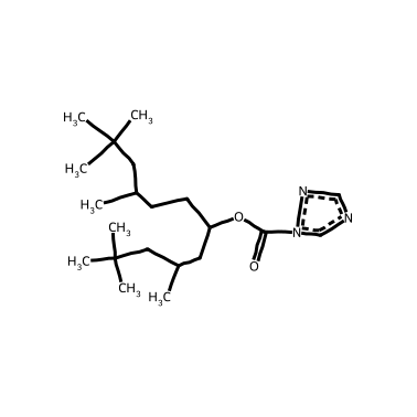 CC(CCC(CC(C)CC(C)(C)C)OC(=O)n1cncn1)CC(C)(C)C